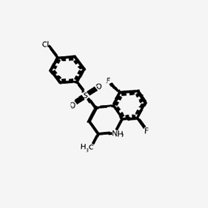 CC1CC(S(=O)(=O)c2ccc(Cl)cc2)c2c(F)ccc(F)c2N1